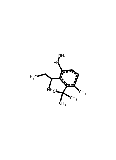 CCC(N)c1c(NN)ccc(C)c1C(C)(C)C